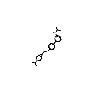 CC(C)Nc1cccc(-c2ccc(OCC3C4CN(C(C)C)CC34)cc2)n1